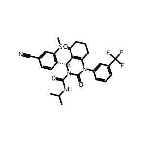 CSc1cc(C#N)ccc1[C@@H]1C2=C(CCCC2=O)N(c2cccc(C(F)(F)F)c2)C(=O)N1C(=O)NC(C)C